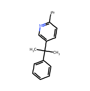 CC(C)c1ccc(C(C)(C)c2ccccc2)cn1